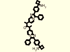 CC(C(=O)C(C)c1ccn2c(-c3ccccc3)c(-c3ccc(C4(N)CCC4)cc3)nc2c1)c1ccn2c(-c3ccccc3)c(-c3ccc(C4(N)CCC4)cc3)nc2c1